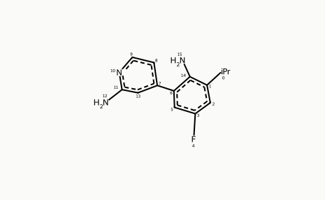 CC(C)c1cc(F)cc(-c2ccnc(N)c2)c1N